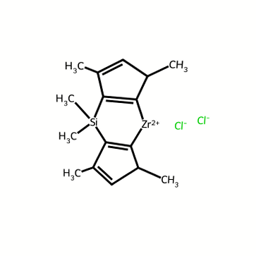 CC1=CC(C)[C]2=C1[Si](C)(C)C1=[C]([Zr+2]2)C(C)C=C1C.[Cl-].[Cl-]